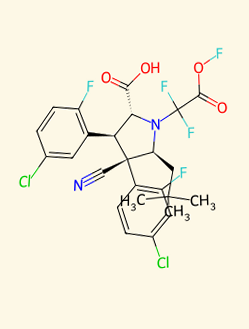 CC(C)(C)C[C@@H]1N(C(F)(F)C(=O)OF)[C@@H](C(=O)O)[C@H](c2cc(Cl)ccc2F)[C@@]1(C#N)c1ccc(Cl)cc1F